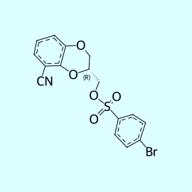 N#Cc1cccc2c1O[C@@H](COS(=O)(=O)c1ccc(Br)cc1)CO2